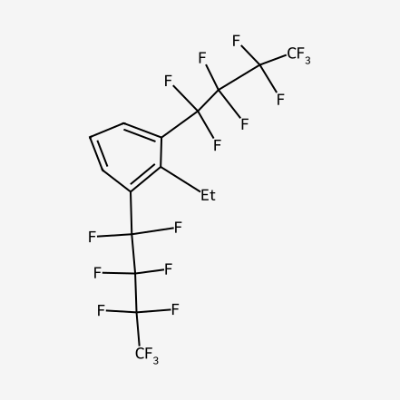 [CH2]Cc1c(C(F)(F)C(F)(F)C(F)(F)C(F)(F)F)cccc1C(F)(F)C(F)(F)C(F)(F)C(F)(F)F